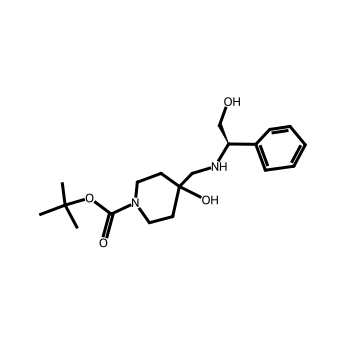 CC(C)(C)OC(=O)N1CCC(O)(CN[C@@H](CO)c2ccccc2)CC1